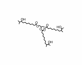 CC(C)C(O)CCCCCCCC(=O)OCC(COC(=O)CCCCCCCC(C)[C@H](C)O)OC(=O)CCCCCCCC(C)[C@H](C)O